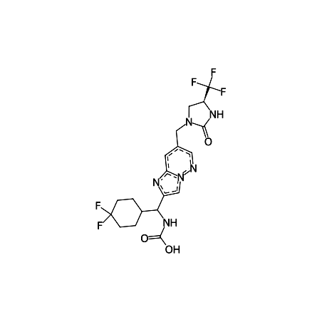 O=C(O)NC(c1cn2ncc(CN3C[C@@H](C(F)(F)F)NC3=O)cc2n1)C1CCC(F)(F)CC1